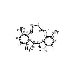 CC(C)c1cccc2c1/N=C/C/C=N/c1c(C(C)C)cccc1C(C)C2C